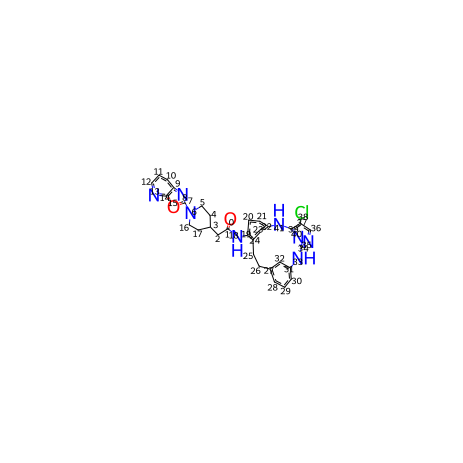 O=C(CC1CCN(c2nc3cccnc3o2)CC1)Nc1ccc2cc1CCc1cccc(c1)Nc1ncc(Cl)c(n1)N2